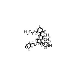 C=CCOc1cccc(F)c1-c1nc2nc(OCC3CCOCC3)nc(N3CCNC[C@H]3C)c2cc1C